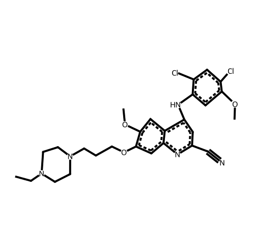 CCN1CCN(CCCOc2cc3nc(C#N)cc(Nc4cc(OC)c(Cl)cc4Cl)c3cc2OC)CC1